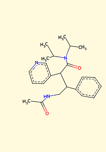 CC(=O)NCC(c1ccccc1)C(C(=O)N(C(C)C)C(C)C)c1cccnc1